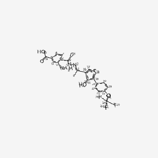 C/C(=N\NC(=O)c1ccc(C(=O)O)cc1N)c1csc(-c2ccc(OC(F)(F)F)cc2)c1O